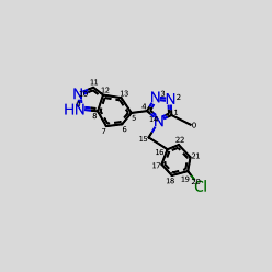 Cc1nnc(-c2ccc3[nH]ncc3c2)n1Cc1ccc(Cl)cc1